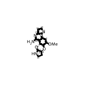 COc1cc2c(cc1O[C@H]1CCNC1=O)c(N)nc1ccnn12